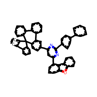 c1ccc(-c2ccc(-c3nc(-c4ccc5c(c4)-c4ccccc4-c4ccccc4C54c5ccccc5-c5ccccc54)cc(-c4cccc5oc6ccccc6c45)n3)cc2)cc1